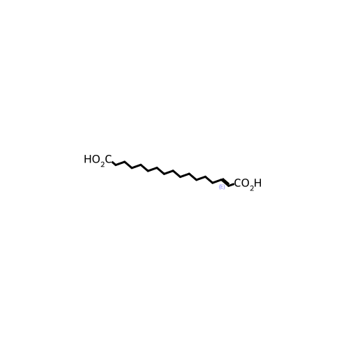 O=C(O)/C=C/CCCCCCCCCCCCCC(=O)O